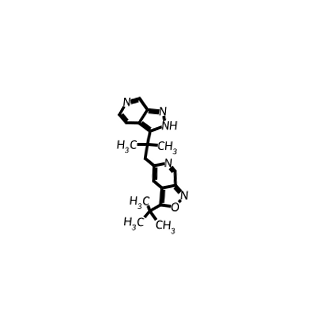 CC(C)(C)c1onc2cnc(CC(C)(C)c3[nH]nc4cnccc34)cc12